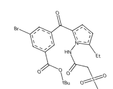 CCc1ccc(C(=O)c2cc(Br)cc(C(=O)OC(C)(C)C)c2)n1NC(=O)CS(C)(=O)=O